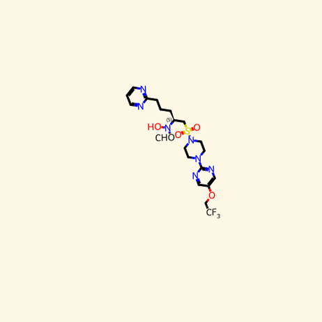 O=CN(O)[C@@H](CCCc1ncccn1)CS(=O)(=O)N1CCN(c2ncc(OCC(F)(F)F)cn2)CC1